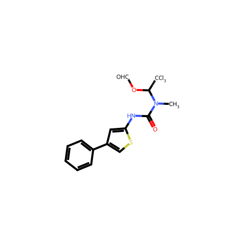 CN(C(=O)Nc1cc(-c2ccccc2)cs1)C(OC=O)C(Cl)(Cl)Cl